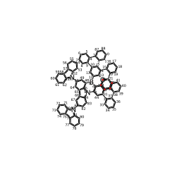 c1ccc(-c2ccccc2-c2cc3c(c(-c4ccccc4-c4ccccc4)c2)Oc2cc(-c4ccccc4-c4ccccc4)cc4c2B3c2cc(-n3c5ccccc5c5ccccc53)cc3c5cc(-n6c7ccccc7c7ccccc76)ccc5n-4c23)cc1